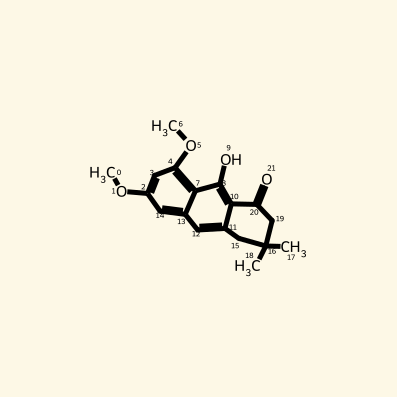 COc1cc(OC)c2c(O)c3c(cc2c1)CC(C)(C)CC3=O